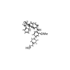 COc1cc(C2CCN(CCO)CC2)ccc1Nc1ncc2ccc(-c3ccccc3N(C)S(C)(=O)=O)n2n1